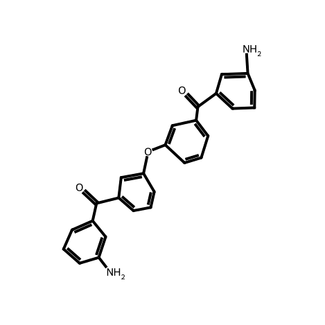 Nc1cccc(C(=O)c2cccc(Oc3cccc(C(=O)c4cccc(N)c4)c3)c2)c1